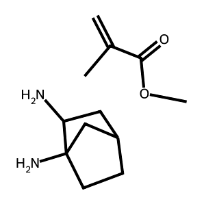 C=C(C)C(=O)OC.NC1CC2CCC1(N)C2